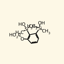 C[Si](C)(O)c1cccc(OC(=O)O)c1[Si](C)(C)O